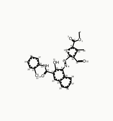 COC(=O)c1sc(/N=N/c2c(O)c(C(=O)Nc3ccccc3Cl)cc3ccccc23)c(C=O)c1C